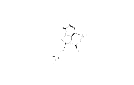 Cc1cc2c3n(c1=O)CC(COS(C)(=O)=O)N3C(=O)CN2